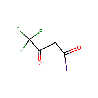 O=C(I)CC(=O)C(F)(F)F